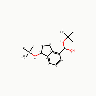 CC(C)C(C)(C)OC(O)c1cccc2c1CCC2O[Si](C)(C)C(C)(C)C